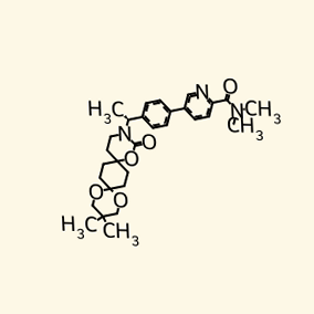 C[C@@H](c1ccc(-c2ccc(C(=O)N(C)C)nc2)cc1)N1CCC2(CCC3(CC2)OCC(C)(C)CO3)OC1=O